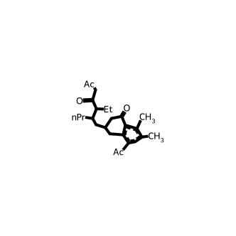 CCCC(CC1CC(=O)c2c(C)c(C)cc(C(C)=O)c2C1)C(CC)C(=O)CC(C)=O